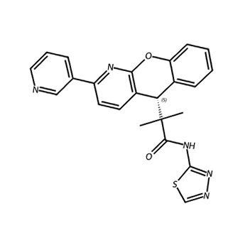 CC(C)(C(=O)Nc1nncs1)[C@H]1c2ccccc2Oc2nc(-c3cccnc3)ccc21